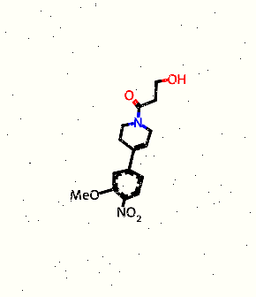 COc1cc(C2=CCN(C(=O)CCO)CC2)ccc1[N+](=O)[O-]